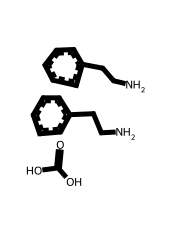 NCCc1ccccc1.NCCc1ccccc1.O=C(O)O